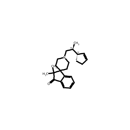 C[C@H](CN1CCC2(CC1)c1ccccc1C(=O)C2(C)C)[C@@H]1C=CCC1